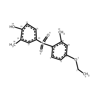 CCOc1ccc(S(=O)(=O)c2ccc(O)c(C)c2)c(C)c1